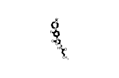 CCCC(=O)NC[C@H]1CN(c2ccc(N3C=CC[S+]([O-])C=C3)c(F)c2)C(=O)O1